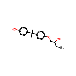 CCC(C)CC(O)COc1ccc(C(C)(C)c2ccc(O)cc2)cc1